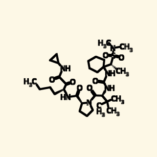 CCCC[C@H](NC(=O)[C@@H]1CCCN1C(=O)[C@@H](NC(=O)NC1([C@@H](C)S(=O)(=O)N(C)C)CCCCC1)C(C)(C)C)C(=O)C(=O)NC1CC1